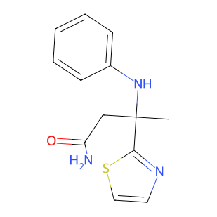 CC(CC(N)=O)(Nc1ccccc1)c1nccs1